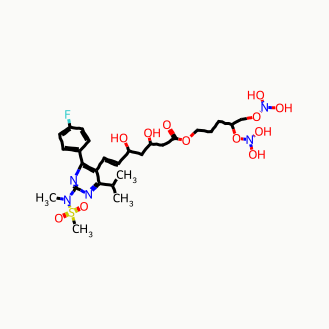 CC(C)c1nc(N(C)S(C)(=O)=O)nc(-c2ccc(F)cc2)c1/C=C/C(O)CC(O)CC(=O)OCCCC(CON(O)O)ON(O)O